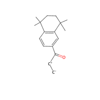 [CH2-][CH+]C(=O)c1ccc2c(c1)C(C)(C)CCC2(C)C